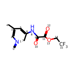 C=N/C=C(C)\C=C(/C)NC(=O)C(=O)OCC(F)(F)F